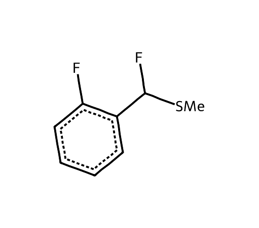 CSC(F)c1ccccc1F